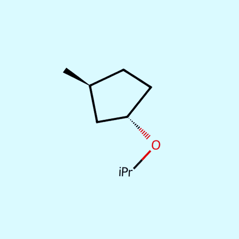 CC(C)O[C@H]1CC[C@H](C)C1